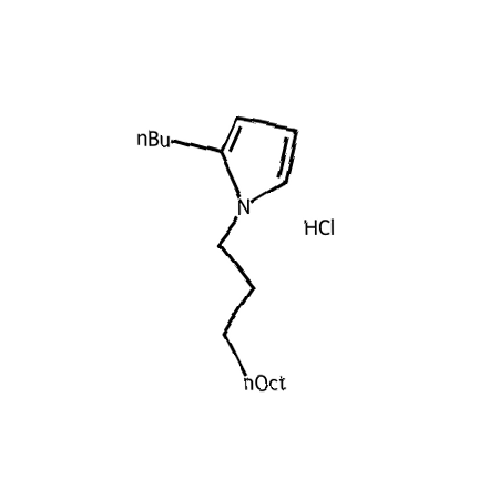 CCCCCCCCCCCn1cccc1CCCC.Cl